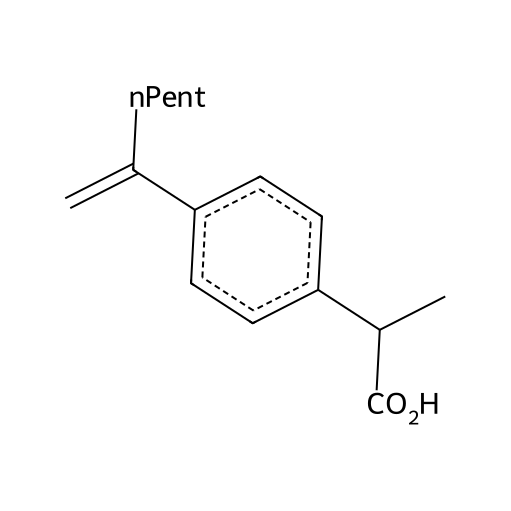 C=C(CCCCC)c1ccc(C(C)C(=O)O)cc1